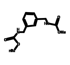 CCCCOC(=O)NCc1cccc(CNC(=O)OC)c1